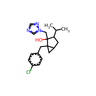 CC(C)C1CC2CC2(Cc2ccc(Cl)cc2)C1(O)Cn1cncn1